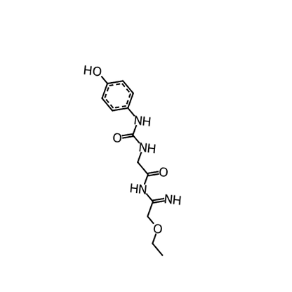 CCOCC(=N)NC(=O)CNC(=O)Nc1ccc(O)cc1